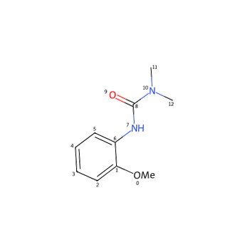 COc1ccccc1NC(=O)N(C)C